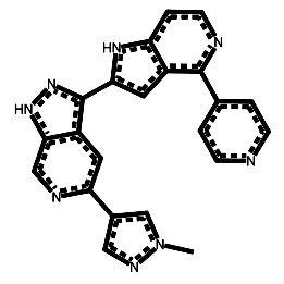 Cn1cc(-c2cc3c(-c4cc5c(-c6ccncc6)nccc5[nH]4)n[nH]c3cn2)cn1